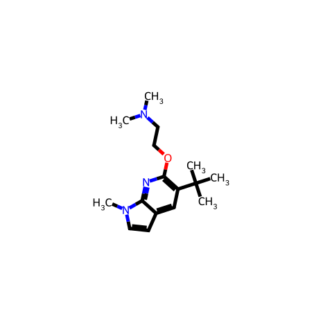 CN(C)CCOc1nc2c(ccn2C)cc1C(C)(C)C